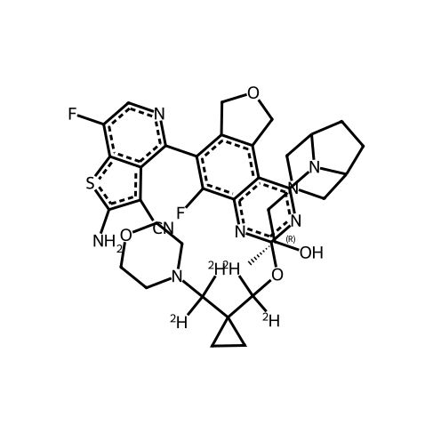 [2H]C([2H])(Oc1nc(N2C3CCC2CN(C[C@@H](C)O)C3)c2c3c(c(-c4ncc(F)c5sc(N)c(C#N)c45)c(F)c2n1)COC3)C1(C([2H])([2H])N2CCOCC2)CC1